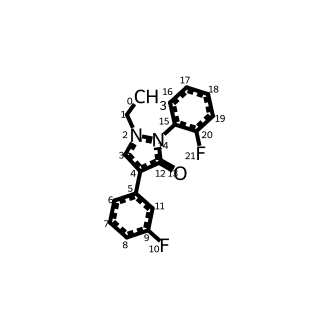 CCn1cc(-c2cccc(F)c2)c(=O)n1-c1ccccc1F